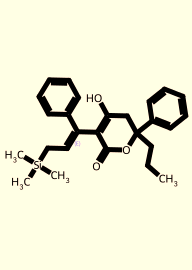 CCCC1(c2ccccc2)CC(O)=C(/C(=C/C[Si](C)(C)C)c2ccccc2)C(=O)O1